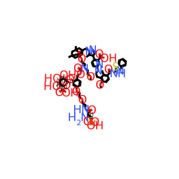 COCCN(CCOC12CC3(C)CC(C)(CC(Cn4ncc(-c5ccc(N6CCc7c(OC)ccc(C(=O)Nc8nc9ccccc9s8)c7C6)nc5C(=O)O)c4C)(C3)C1)C2)C(=O)OCc1ccc(OCCOCCNC(=O)[C@@H](N)CS(=O)(=O)O)cc1O[C@@H]1O[C@H](C(=O)O)[C@@H](O)[C@H](O)[C@H]1O